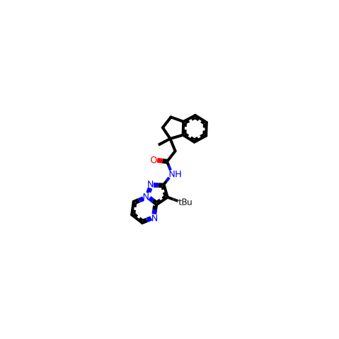 CC(C)(C)c1c(NC(=O)CC2(C)CCc3ccccc32)nn2cccnc12